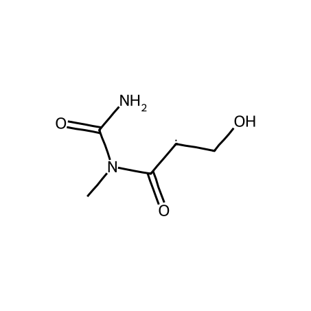 CN(C(N)=O)C(=O)[CH]CO